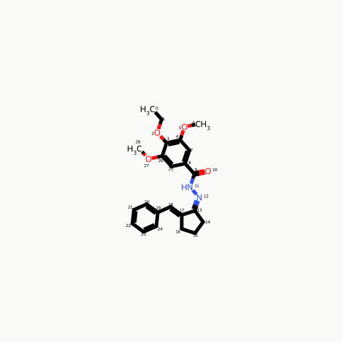 CCOc1c(OC)cc(C(=O)NN=C2CCCC2=Cc2ccccc2)cc1OC